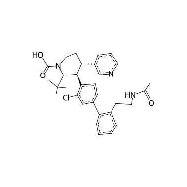 CC(=O)NCCc1ccccc1-c1ccc([C@H]2C(C(C)(C)C)N(C(=O)O)CC[C@@H]2c2cccnc2)c(Cl)c1